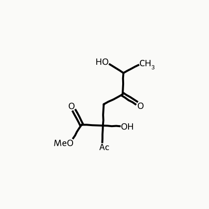 COC(=O)C(O)(CC(=O)C(C)O)C(C)=O